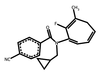 CC1=C(F)C(N(CC2CC2)C(=O)c2ccc(C#N)cc2)=CC=CC1